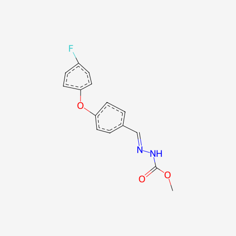 COC(=O)NN=Cc1ccc(Oc2ccc(F)cc2)cc1